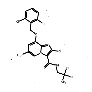 CCC(C)(N)CNC(=O)c1c(Cl)nc2c(OCc3c(Cl)cccc3Cl)cc(C)cn12